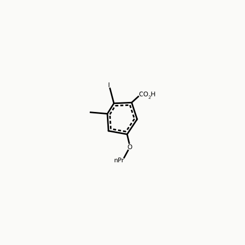 CCCOc1cc(C)c(I)c(C(=O)O)c1